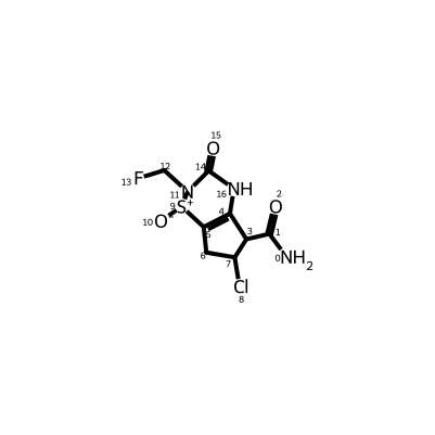 NC(=O)C1C2=C(CC1Cl)[S+]([O-])N(CF)C(=O)N2